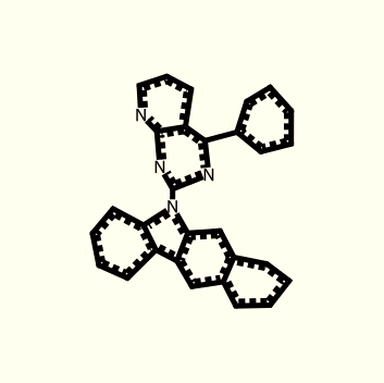 c1ccc(-c2nc(-n3c4ccccc4c4cc5ccccc5cc43)nc3ncccc23)cc1